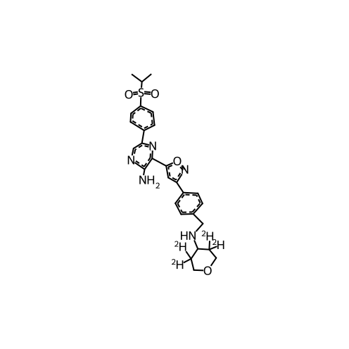 [2H]C1([2H])COCC([2H])([2H])C1NCc1ccc(-c2cc(-c3nc(-c4ccc(S(=O)(=O)C(C)C)cc4)cnc3N)on2)cc1